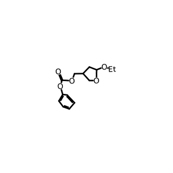 CCOC1CC(COC(=O)Oc2ccccc2)CO1